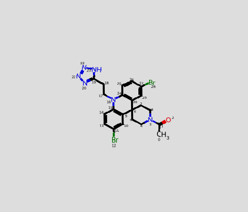 CC(=O)N1CCC2(CC1)c1cc(Br)ccc1N(CCc1nnn[nH]1)c1ccc(Br)cc12